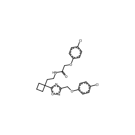 O=C(COc1ccc(Cl)cc1)NCCC1(c2nc(COc3ccc(Cl)cc3)no2)CCC1